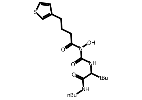 CCCCNC(=O)C(NC(=O)N(O)C(=O)CCCc1ccsc1)C(C)(C)C